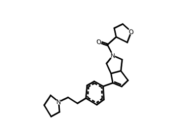 O=C(C1CCOC1)N1CC2CC=C(c3ccc(CCN4CCCC4)cc3)C2C1